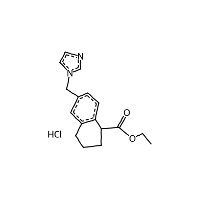 CCOC(=O)C1CCCc2cc(Cn3ccnc3)ccc21.Cl